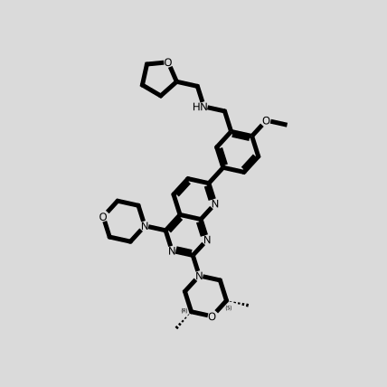 COc1ccc(-c2ccc3c(N4CCOCC4)nc(N4C[C@@H](C)O[C@@H](C)C4)nc3n2)cc1CNCC1CCCO1